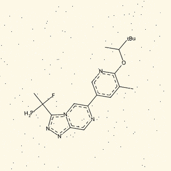 Cc1cc(-c2cn3c(C(C)(F)P)nnc3cn2)cnc1OC(C)C(C)(C)C